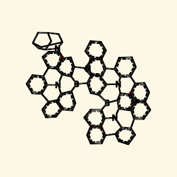 c1ccc(-c2cccc(-c3ccccc3)c2N2c3ccccc3B3c4cc5c(cc4N(c4ccccc4)c4cc(N6C7CC8CC(C7)CC6C8)cc2c43)N(c2c(-c3ccccc3)cccc2-c2ccccc2)c2cccc3c2B5c2ccccc2N3c2c(-c3ccccc3)cccc2-c2ccccc2)cc1